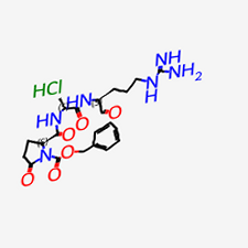 C[C@H](NC(=O)[C@@H]1CCC(=O)N1C(=O)OCc1ccccc1)C(=O)N[C@H](C=O)CCCNC(=N)N.Cl